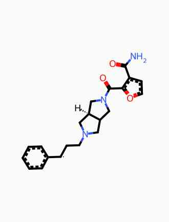 NC(=O)c1ccoc1C(=O)N1CC2CN(CC[CH]c3ccccc3)C[C@H]2C1